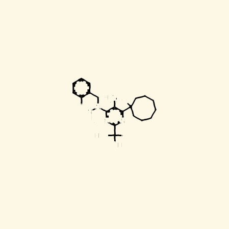 CC(C)(C)c1nc(N(N)Cc2ccccc2Cl)c(N)c(C2(O)CCCCCCC2)n1